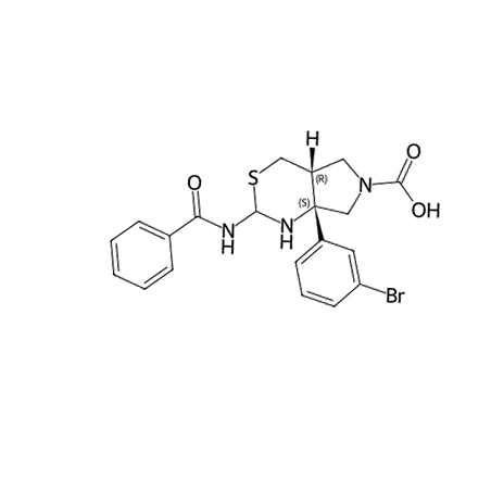 O=C(NC1N[C@@]2(c3cccc(Br)c3)CN(C(=O)O)C[C@H]2CS1)c1ccccc1